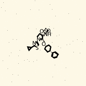 CS(=O)(=O)N[C@H]1CCN(c2csc(C3CC3)n2)[C@H]1CO[C@H]1CC[C@@H](c2ccccc2)CC1